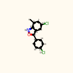 Cc1cc(Cl)cc2c(-c3ccc(Cl)cc3)onc12